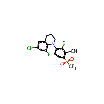 N#Cc1c(S(=O)(=O)C(F)(F)F)ccc(N2CCCc3cc(Cl)cc(F)c32)c1Cl